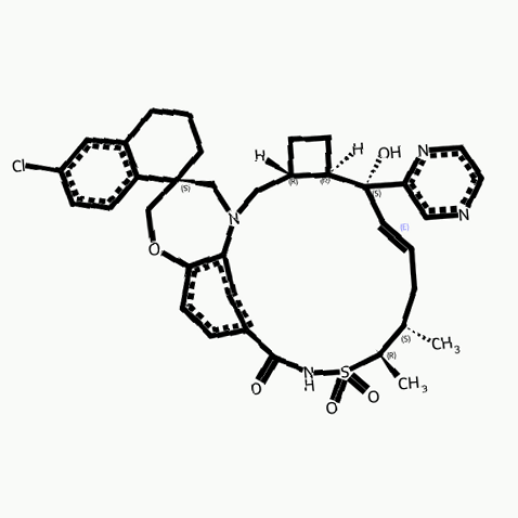 C[C@@H]1[C@@H](C)C/C=C/[C@](O)(c2cnccn2)[C@@H]2CC[C@H]2CN2C[C@@]3(CCCc4cc(Cl)ccc43)COc3ccc(cc32)C(=O)NS1(=O)=O